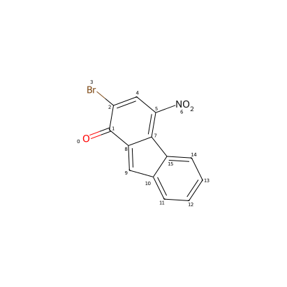 O=C1C(Br)=CC([N+](=O)[O-])=C2C1=Cc1ccccc12